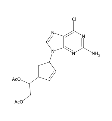 CC(=O)OCC(OC(C)=O)C1C=CC(n2cnc3c(Cl)nc(N)nc32)C1